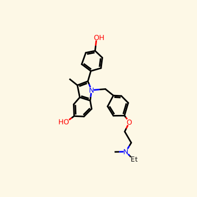 CCN(C)CCOc1ccc(Cn2c(-c3ccc(O)cc3)c(C)c3cc(O)ccc32)cc1